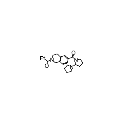 CCC(=O)N1CCc2cc(C(=O)N3CCCC3N3CCCC3)ccc2C1